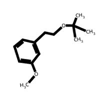 COc1cccc(CCOC(C)(C)C)c1